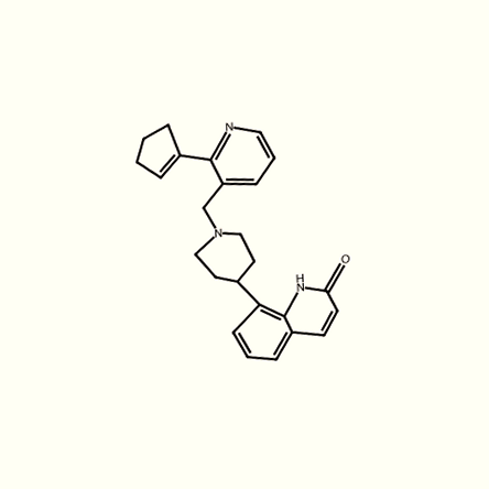 O=c1ccc2cccc(C3CCN(Cc4cccnc4C4=CCCC4)CC3)c2[nH]1